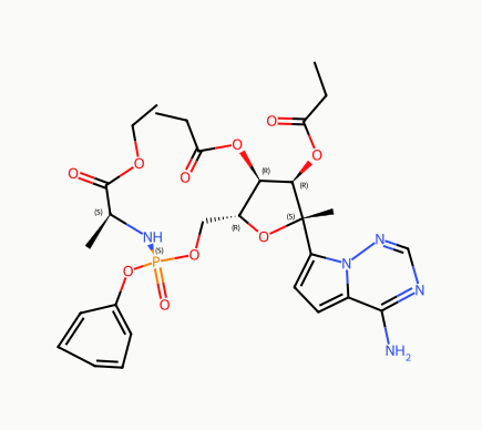 CCOC(=O)[C@H](C)N[P@](=O)(OC[C@H]1O[C@@](C)(c2ccc3c(N)ncnn23)[C@H](OC(=O)CC)[C@@H]1OC(=O)CC)Oc1ccccc1